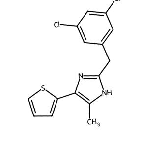 Cc1[nH]c(Cc2cc(Cl)cc(Cl)c2)nc1-c1cccs1